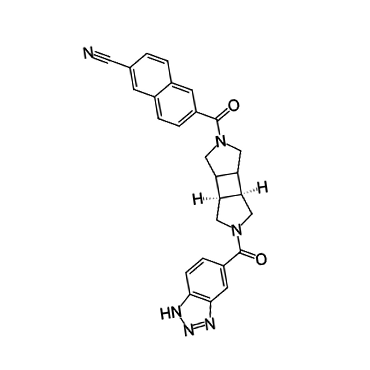 N#Cc1ccc2cc(C(=O)N3CC4C(C3)[C@@H]3CN(C(=O)c5ccc6[nH]nnc6c5)C[C@H]43)ccc2c1